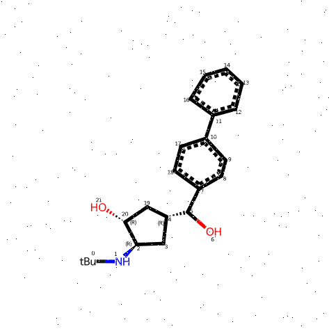 CC(C)(C)N[C@@H]1C[C@@H](C(O)c2ccc(-c3ccccc3)cc2)C[C@H]1O